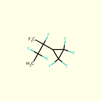 [CH2]C(F)(F)C(F)([C]1C(F)(F)C1(F)F)C(F)(F)F